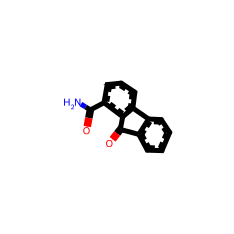 NC(=O)c1[c]ccc2c1C(=O)c1ccccc1-2